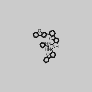 c1ccc(C2NC(c3cccc4c3oc3ccccc34)NC(c3cccc4c3oc3c(-c5ccc6c(c5)oc5ccccc56)cccc34)N2)cc1